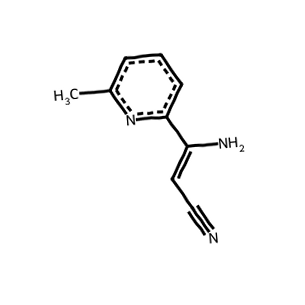 Cc1cccc(C(N)=CC#N)n1